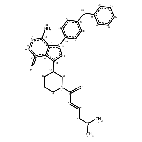 CN(C)C/C=C/C(=O)N1CCC[C@@H](c2cn(-c3ccc(Oc4ccccc4)cc3)c3c(N)n[nH]c(=O)c23)C1